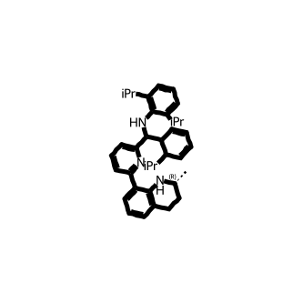 CC(C)c1cccc(C(C)C)c1NC(c1cccc(-c2cccc3c2N[C@H](C)CC3)n1)C1C=CC=CC1C(C)C